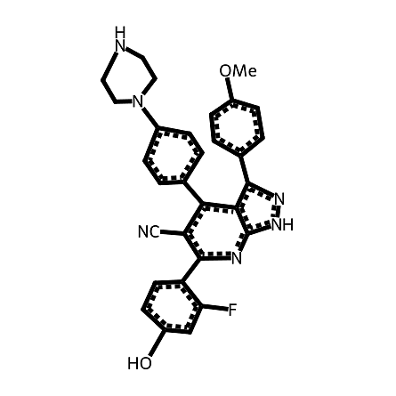 COc1ccc(-c2n[nH]c3nc(-c4ccc(O)cc4F)c(C#N)c(-c4ccc(N5CCNCC5)cc4)c23)cc1